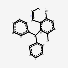 C/C=C\c1c(C(C)C)ccc(C)c1C(c1ccccc1)c1ccccc1